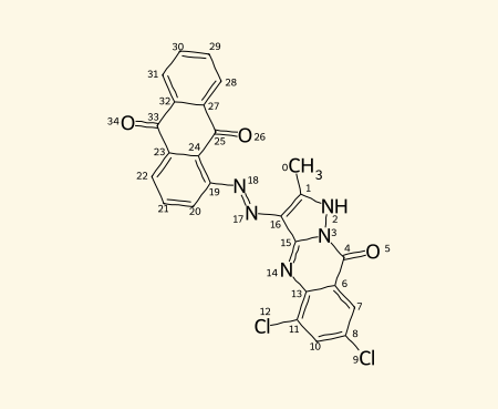 Cc1[nH]n2c(=O)c3cc(Cl)cc(Cl)c3nc2c1N=Nc1cccc2c1C(=O)c1ccccc1C2=O